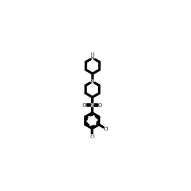 O=S(=O)(c1ccc(Cl)c(Cl)c1)C1CCN(C2CCNCC2)CC1